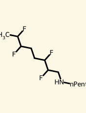 CCCCCNCC(F)C(F)CCC(F)C(C)F